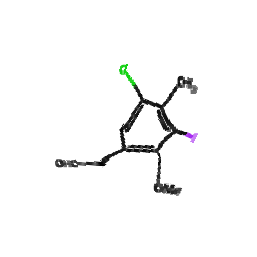 COc1c(CC=O)cc(Cl)c(C)c1I